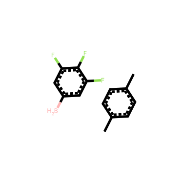 Bc1cc(F)c(F)c(F)c1.Cc1ccc(C)cc1